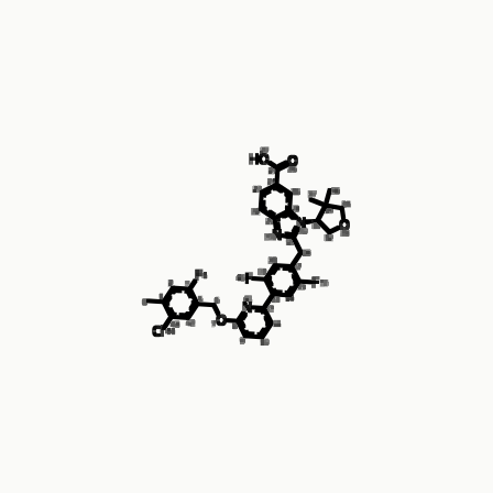 Cc1cc(F)c(COc2cccc(-c3cc(F)c(Cc4nc5ccc(C(=O)O)cc5n4[C@@H]4COCC4(C)C)cc3F)n2)cc1Cl